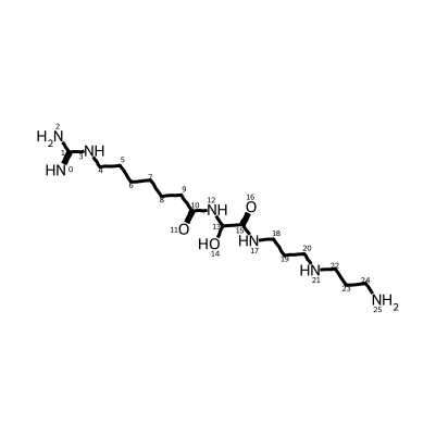 N=C(N)NCCCCCCC(=O)NC(O)C(=O)NCCCNCCCN